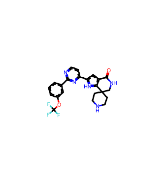 O=C1NCC2(CCNCC2)c2[nH]c(-c3ccnc(-c4cccc(OC(F)(F)F)c4)n3)cc21